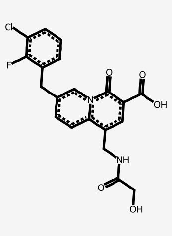 O=C(CO)NCc1cc(C(=O)O)c(=O)n2cc(Cc3cccc(Cl)c3F)ccc12